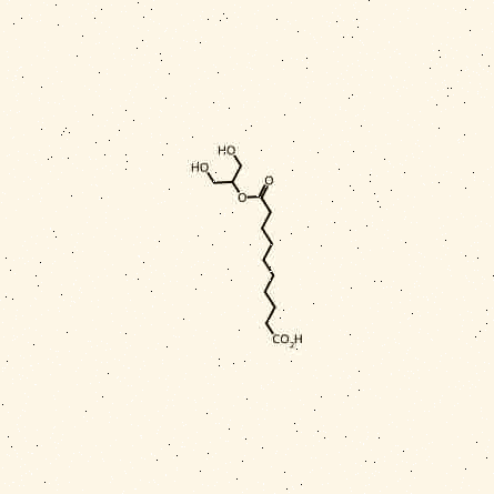 O=C(O)CCCCCCCCC(=O)OC(CO)CO